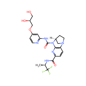 C[C@@H](NC(=O)c1ccc2c(n1)N(C(=O)Nc1cc(OC[C@@H](O)CO)ccn1)[C@H]1CCN2C1)C(F)(F)F